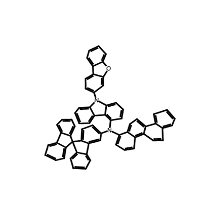 c1ccc2c(c1)-c1ccccc1C21c2ccccc2-c2cc(N(c3cccc4c3ccc3c5ccccc5ccc43)c3cccc4c3c3ccccc3n4-c3ccc4c(c3)oc3ccccc34)ccc21